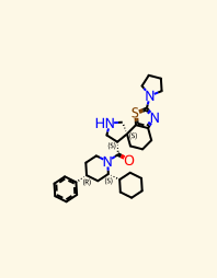 O=C([C@@H]1CNC[C@]12CCCc1nc(N3CCCC3)sc12)N1CC[C@@H](c2ccccc2)C[C@H]1C1CCCCC1